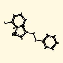 Cc1cccc2c([CH]Cc3ccccc3)c[nH]c12